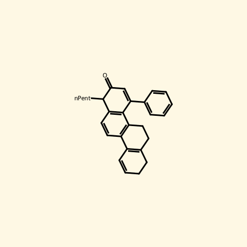 CCCCCC1C(=O)C=C(c2ccccc2)c2c1ccc1c2CCC2=C1C=CCC2